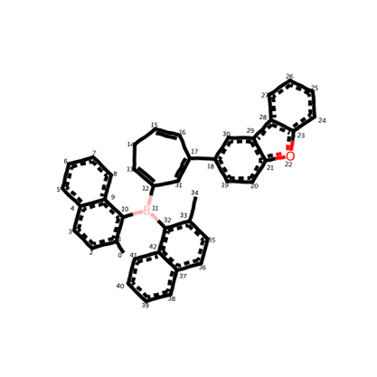 Cc1ccc2ccccc2c1B(C1=CCC=CC(c2ccc3oc4ccccc4c3c2)=C1)c1c(C)ccc2ccccc12